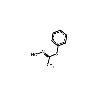 CC(=NO)Sc1ccccc1